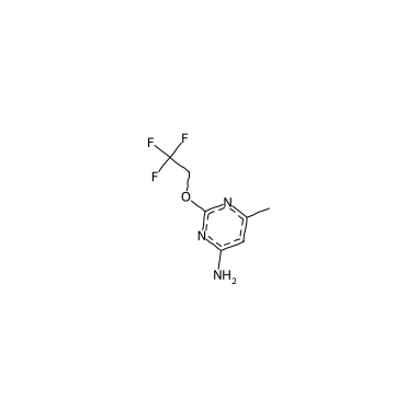 Cc1cc(N)nc(OCC(F)(F)F)n1